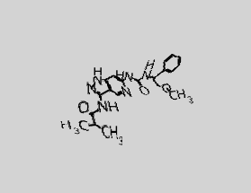 COCC(NC(=O)Nc1cc2[nH]nc(NC(=O)C(C)C)c2cn1)c1ccccc1